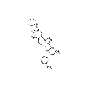 C=C(/N=C(\C(C)=C/C)n1cnc(C(=O)NC(CC)c2cccc(C)c2)c1)NC1CCCCC1